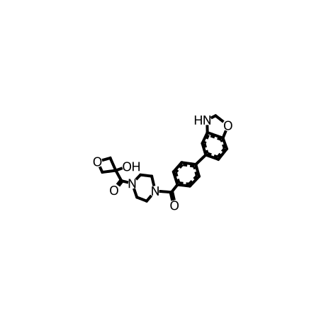 O=C(c1ccc(-c2ccc3c(c2)NCO3)cc1)N1CCN(C(=O)C2(O)COC2)CC1